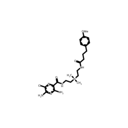 COc1ccc(CCCC(=O)NCC[N+](C)(C)CCNC(=O)c2nc(Cl)c(N)nc2N)cc1